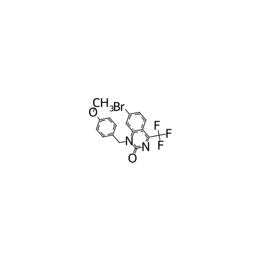 COc1ccc(Cn2c(=O)nc(C(F)(F)F)c3ccc(Br)cc32)cc1